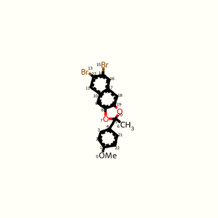 COc1ccc(C2(C)Oc3cc4cc(Br)c(Br)cc4cc3O2)cc1